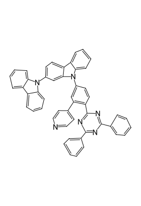 c1ccc(-c2nc(-c3ccccc3)nc(-c3ccc(-n4c5ccccc5c5ccc(-n6c7ccccc7c7ccccc76)cc54)cc3-c3ccncc3)n2)cc1